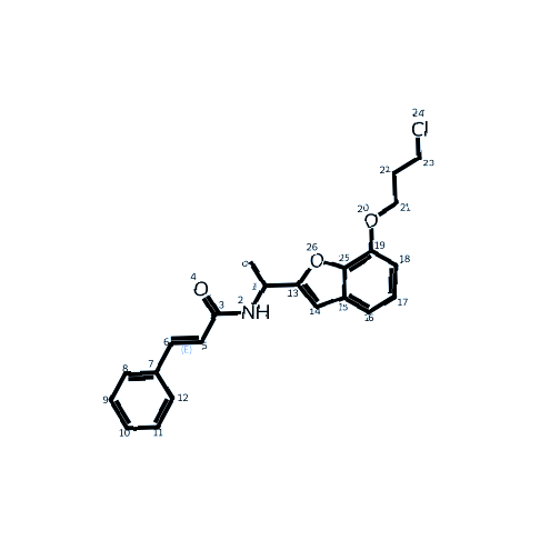 CC(NC(=O)/C=C/c1ccccc1)c1cc2cccc(OCCCCl)c2o1